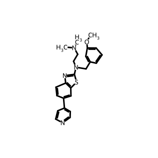 COc1cccc(CN(CCN(C)C)c2nc3ccc(-c4ccncc4)cc3s2)c1